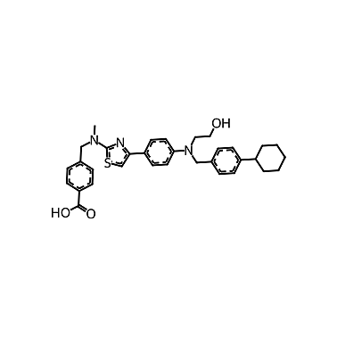 CN(Cc1ccc(C(=O)O)cc1)c1nc(-c2ccc(N(CCO)Cc3ccc(C4CCCCC4)cc3)cc2)cs1